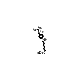 CCCCCCCCCCCCCCCCNc1ccc(COC(C(C)=O)C(C)=O)c(F)c1